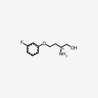 N[C@H](CO)CCOc1cccc(F)c1